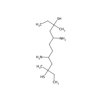 CCC(C)(S)CC(N)CCC(N)CC(C)(S)CC